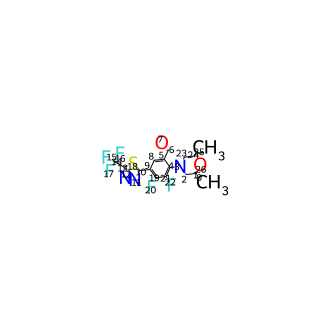 CC1CN(c2c(C=O)cc(-c3nnc(C(F)(F)F)s3)c(F)c2F)CC(C)O1